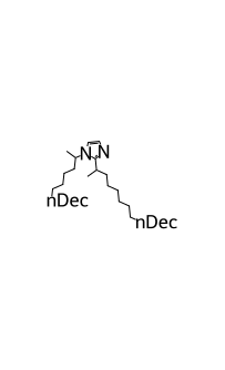 CCCCCCCCCCCCCCCCC(C)c1nccn1C(C)CCCCCCCCCCCCCC